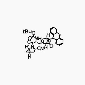 CC(C)(C)OC(=O)N[C@@H](CN1C[C@@H]2C[C@H]1C(=O)N2C1c2ccccc2Cc2ccccc21)C(=O)N1[C@H](C#N)C[C@@H]2C[C@@H]21